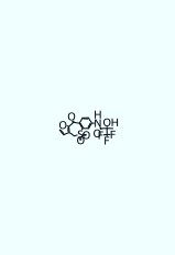 CC(O)(C(=O)Nc1ccc2c(c1)S(=O)(=O)Cc1ccoc1C2=O)C(F)(F)F